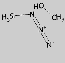 CO.[N-]=[N+]=N[SiH3]